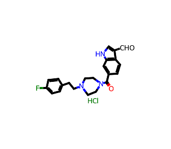 Cl.O=Cc1c[nH]c2cc(C(=O)N3CCN(CCc4ccc(F)cc4)CC3)ccc12